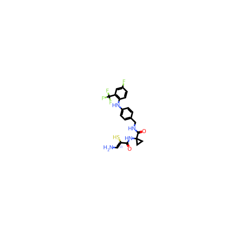 N/C=C(\S)C(=O)NC1(C(=O)NCc2ccc(Nc3ccc(F)cc3C(F)(F)F)cc2)CC1